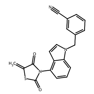 C=C1SC(=O)N(c2cccc3c2ccn3Cc2cccc(C#N)c2)C1=O